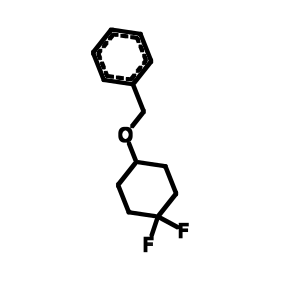 FC1(F)CCC(OCc2ccccc2)CC1